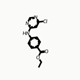 CCOC(=O)c1ccc(Nc2cc(Cl)ncn2)cc1